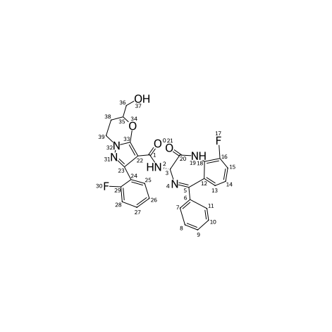 O=C(N[C@H]1N=C(c2ccccc2)c2cccc(F)c2NC1=O)c1c(-c2ccccc2F)nn2c1OC(CO)CC2